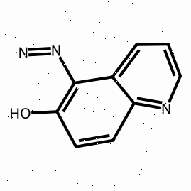 [N]=Nc1c(O)ccc2ncccc12